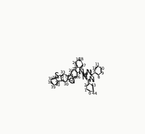 c1ccc(-c2nc(-c3ccccc3)nc(-n3c4ccccc4c4cc5c(cc43)oc3cc4c(cc35)sc3ccccc34)n2)cc1